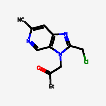 CCC(=O)Cn1c(CCl)nc2cc(C#N)ncc21